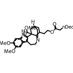 CCCCCCCCCCCC(=O)OCCC1C[C@@H]2CN3CCc4c([nH]c5cc(OC)c(OC)cc45)C(C(=O)OC)(C2)C13